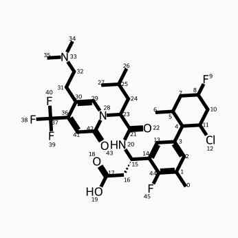 Cc1cc(C2C(C)CC(F)CC2Cl)cc([C@H](CC(=O)O)NC(=O)C(CC(C)C)n2cc(CCN(C)C)c(C(F)(F)F)cc2=O)c1F